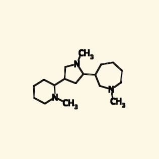 CN1CCCCC(C2CC(C3CCCCN3C)CN2C)C1